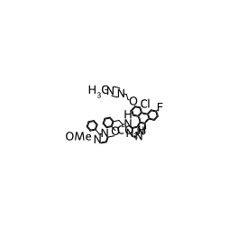 COc1ccccc1-c1nccc(COc2ccccc2C[C@H](Nc2ncnn3cc4c5ccc(F)cc5c5c(Cl)c(OCCN6CCN(C)CC6)ccc5c4c23)C(=O)O)n1